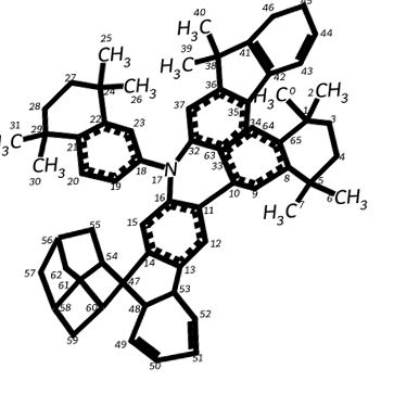 CC1(C)CCC(C)(C)c2cc(-c3cc4c(cc3N(c3ccc5c(c3)C(C)(C)CCC5(C)C)c3ccc5c(c3)C(C)(C)C3=C5C=CCC3)C3(C5C=CC=CC45)C4CC5CC6CC3C64C5)ccc21